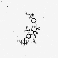 CCn1nc(C(=O)NC[C@H]2CC[C@H](S(=O)(=O)NC=O)CC2)c(Cl)c1-c1ccc(CC(C)(C)C(F)(F)F)cc1OC(F)F